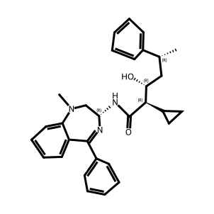 C[C@H](C[C@@H](O)[C@H](C(=O)N[C@H]1CN(C)c2ccccc2C(c2ccccc2)=N1)C1CC1)c1ccccc1